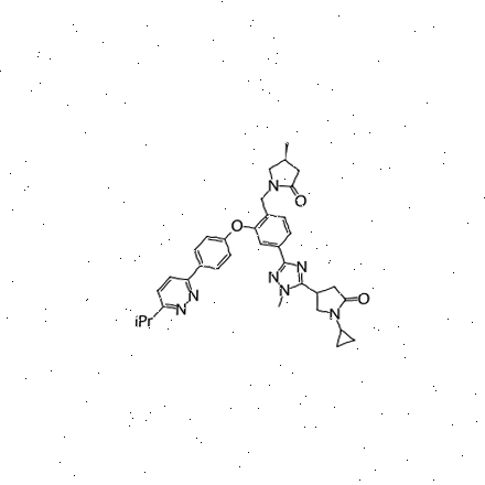 CC(C)c1ccc(-c2ccc(Oc3cc(-c4nc(C5CC(=O)N(C6CC6)C5)n(C)n4)ccc3CN3C[C@@H](C)CC3=O)cc2)nn1